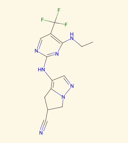 CCNc1nc(Nc2cnn3c2CC(C#N)C3)ncc1C(F)(F)F